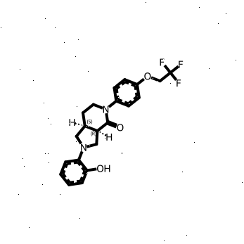 O=C1[C@H]2CN(c3ccccc3O)C[C@H]2CCN1c1ccc(OCC(F)(F)F)cc1